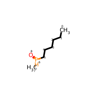 CCCCCC[PH](C)=O